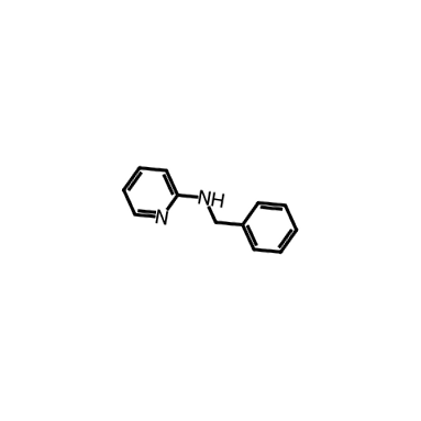 c1ccc(CNc2ccccn2)cc1